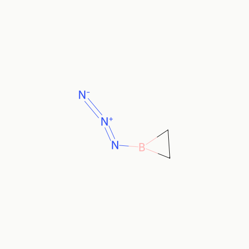 [N-]=[N+]=NB1CC1